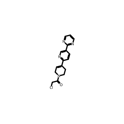 O=C(CCl)N1CC=C(c2ccc(-c3ncccn3)cn2)CC1